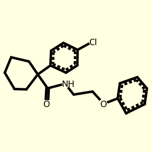 O=C(NCCOc1ccccc1)C1(c2ccc(Cl)cc2)CCCCC1